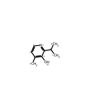 Cc1ccnc(C(C)C)c1O